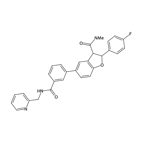 CNC(=O)C1c2cc(-c3cccc(C(=O)NCc4ccccn4)c3)ccc2OC1c1ccc(F)cc1